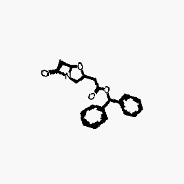 O=C(CC1CN2C(=O)CC2O1)OC(c1ccccc1)c1ccccc1